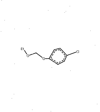 CCOCOc1ccc(Cl)cc1